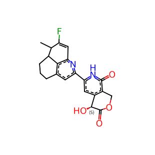 CC1C(F)=Cc2nc(-c3cc4c(c(=O)[nH]3)COC(=O)[C@H]4O)cc3c2C1CCC3